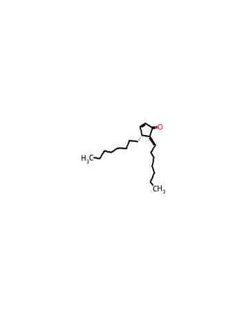 CCCCCC/C=C1/C(=O)C=C[C@H]1CCCCCCCC